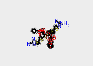 N#CC(C#N)=Nc1ccc(-c2cc3c(s2)-c2sc4c5c(sc4c2C(C(=O)OCc2ccccc2)(C(=O)OCc2ccccc2)O3)-c2sc(-c3ccc(/N=C(/N)C#N)s3)cc2OC5(C(=O)OCc2ccccc2)C(=O)OCc2ccccc2)s1